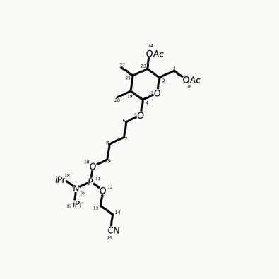 CC(=O)OCC1OC(OCCCCOP(OCCC#N)N(C(C)C)C(C)C)C(C)C(C)C1OC(C)=O